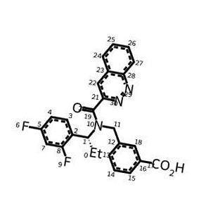 CC[C@H](c1ccc(F)cc1F)N(Cc1cccc(C(=O)O)c1)C(=O)c1cc2ccccc2nn1